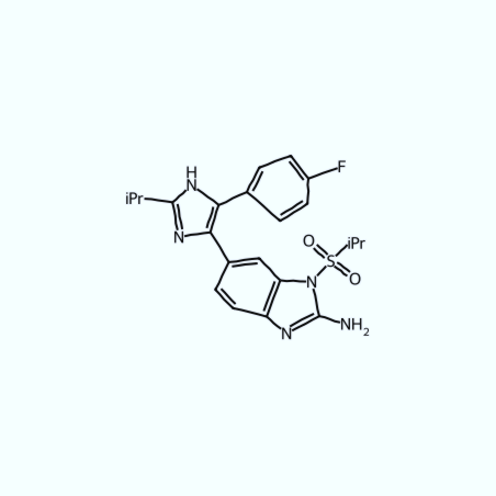 CC(C)c1nc(-c2ccc3nc(N)n(S(=O)(=O)C(C)C)c3c2)c(-c2ccc(F)cc2)[nH]1